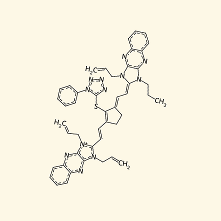 C=CCN1C(=CC=C2CCC(C=Cc3n(CC=C)c4nc5ccccc5nc4[n+]3CC=C)=C2Sc2nnnn2-c2ccccc2)N(CCC)c2nc3ccccc3nc21